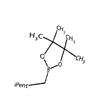 CCCC(C)CB1OC(C)(C)C(C)(C)O1